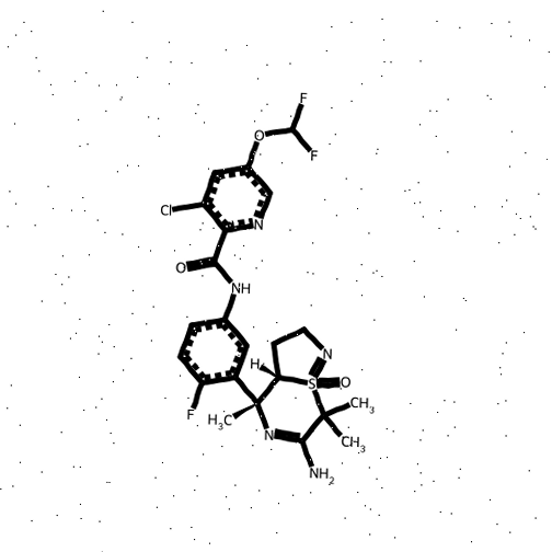 CC1(C)C(N)=N[C@](C)(c2cc(NC(=O)c3ncc(OC(F)F)cc3Cl)ccc2F)[C@@H]2CCN=S21=O